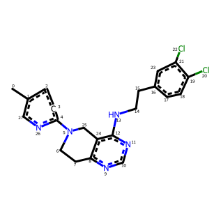 Cc1ccc(N2CCc3ncnc(NCCc4ccc(Cl)c(Cl)c4)c3C2)nc1